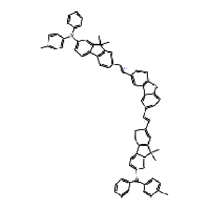 Cc1ccc(N(c2ccccc2)c2ccc3c(c2)C(C)(C)c2cc(/C=C/c4ccc5sc6ccc(/C=C/c7ccc8c(c7)C(C)(C)c7cc(N(c9ccccc9)c9ccc(C)cc9)ccc7-8)cc6c5c4)ccc2-3)cc1